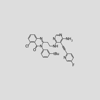 CC(C)(C)c1cccc(-n2c(CCNc3ncnc(N)c3C#Cc3ccc(F)cn3)nc3cccc(Cl)c3c2=O)c1